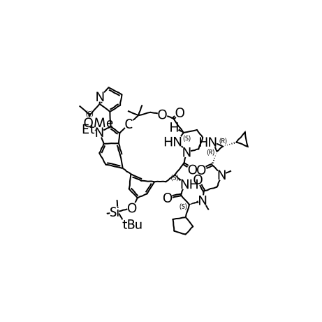 CCn1c(-c2cccnc2[C@H](C)OC)c2c3cc(ccc31)-c1cc(cc(O[Si](C)(C)C(C)(C)C)c1)C[C@H](NC(=O)[C@H](C1CCCC1)N(C)C(=O)CN(C)C(=O)[C@@H]1N[C@@H]1C1CC1)C(=O)N1CCC[C@H](N1)C(=O)OCC(C)(C)C2